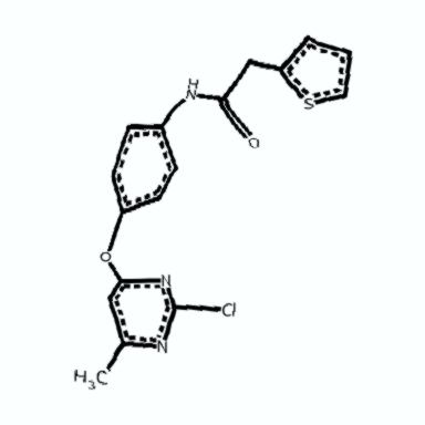 Cc1cc(Oc2ccc(NC(=O)Cc3cccs3)cc2)nc(Cl)n1